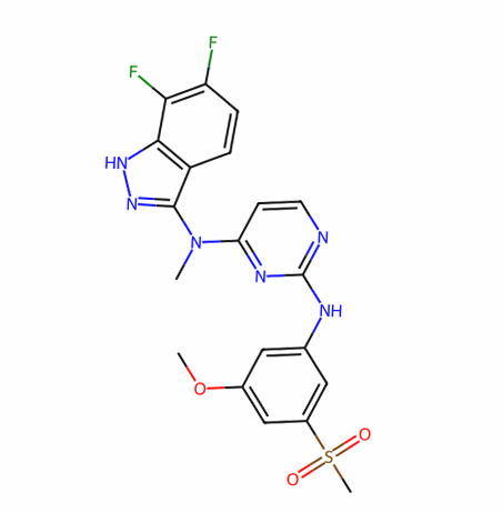 COc1cc(Nc2nccc(N(C)c3n[nH]c4c(F)c(F)ccc34)n2)cc(S(C)(=O)=O)c1